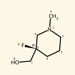 CN1CCC[C@](F)(CO)C1